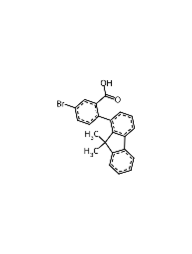 CC1(C)c2ccccc2-c2cccc(-c3ccc(Br)cc3C(=O)O)c21